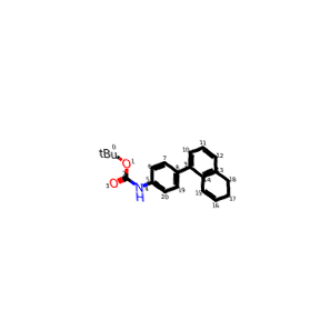 CC(C)(C)OC(=O)Nc1ccc(-c2cccc3c2C=CCC3)cc1